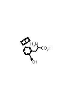 C#Cc1ccccc1CC(N)C(=O)O.c1cc2ccc1-2